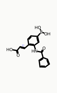 O=C(O)/C=C/c1ccc(B(O)O)cc1NC(=O)c1ccccc1